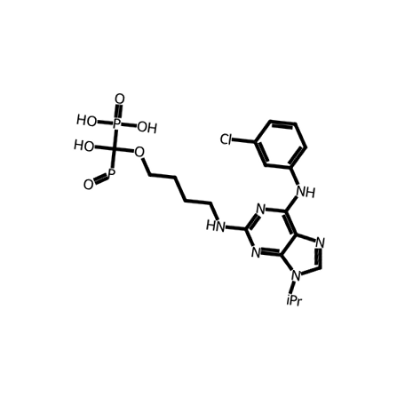 CC(C)n1cnc2c(Nc3cccc(Cl)c3)nc(NCCCCOC(O)(P=O)P(=O)(O)O)nc21